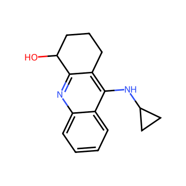 OC1CCCc2c1nc1ccccc1c2NC1CC1